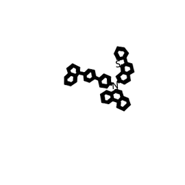 c1ccc2c(-c3ccc(-c4ccc(N(c5ccc6ccc7c8ccccc8sc7c6c5)c5cc6ccccc6c6ccccc56)cc4)cc3)cccc2c1